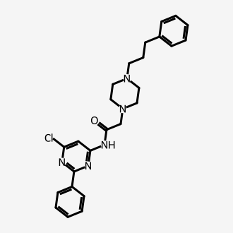 O=C(CN1CCN(CCCc2ccccc2)CC1)Nc1cc(Cl)nc(-c2ccccc2)n1